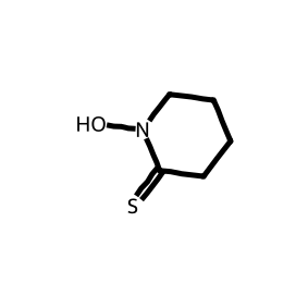 ON1CCCCC1=S